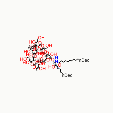 CCCCCCCCCCCCC/C=C/[C@@H](O)[C@H](CO[C@@H]1OC(CO)[C@@H](O[C@@H]2OC(CO)[C@H](O[C@@H]3OC(CO)[C@H](O)[C@H](O)C3NC(C)=O)[C@H](O[C@H]3OC(CO)[C@H](O)[C@H](O[C@@H]4OC(CO)[C@@H](O)[C@H](O[C@H]5OC(C)[C@@H](O)C(O)[C@@H]5O)C4NC(C)=O)C3O)C2O)[C@H](O)C1O)NC(=O)CCCCCCCCCCCCCCCCCCC